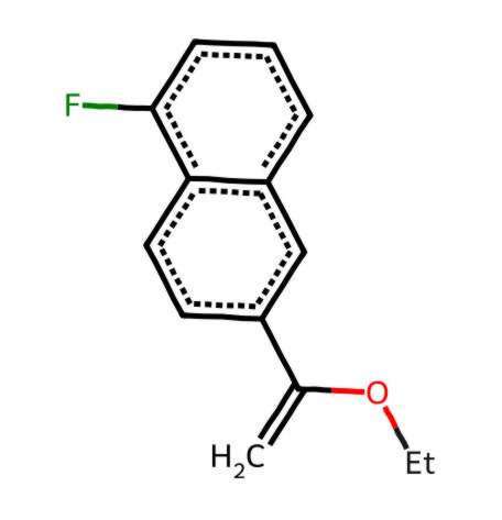 C=C(OCC)c1ccc2c(F)cccc2c1